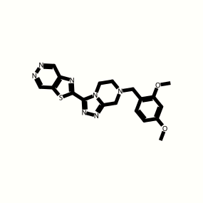 COc1ccc(CN2CCn3c(nnc3-c3nc4cnncc4s3)C2)c(OC)c1